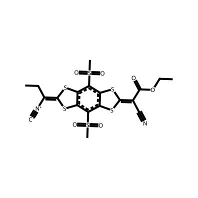 [C-]#[N+]C(CC)=C1Sc2c(c(S(C)(=O)=O)c3c(c2S(C)(=O)=O)SC(=C(C#N)C(=O)OCC)S3)S1